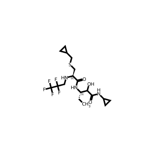 CC[C@H](NC(=O)[C@H](CSCC1CC1)NCC(F)(F)C(F)(F)F)C(O)C(=O)NC1CC1